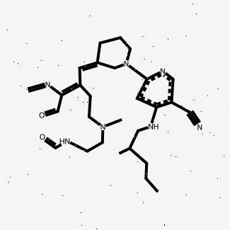 C=N/C(C=O)=C(\C=C1\CCCN(c2cc(NCC(C)CCC)c(C#N)cn2)C1)CCN(C)CCNC=O